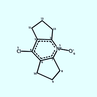 [O-][n+]1c2c(c(Cl)c3c1CCC3)CCC2